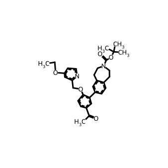 CCOc1ccnc(COc2ccc(C(C)=O)cc2-c2ccc3c(c2)CCN(C(=O)OC(C)(C)C)CC3)c1